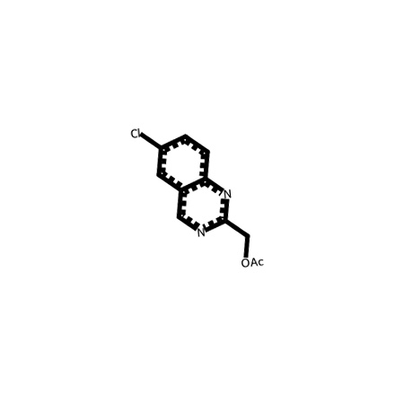 CC(=O)OCc1ncc2cc(Cl)ccc2n1